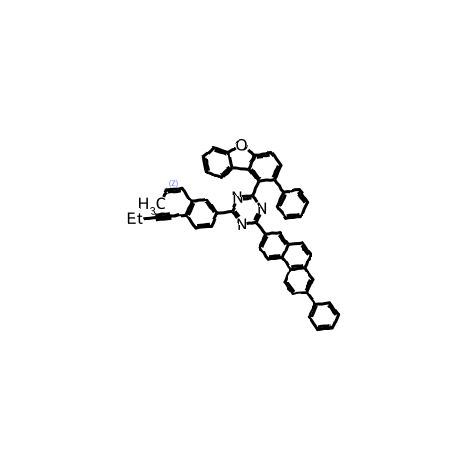 C/C=C\c1cc(-c2nc(-c3ccc4c(ccc5cc(-c6ccccc6)ccc54)c3)nc(-c3c(-c4ccccc4)ccc4oc5ccccc5c34)n2)ccc1C#CCC